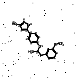 C[C@H](Cc1cccc(OC(F)(F)F)c1)Oc1ccc(-c2cc(O)no2)cc1